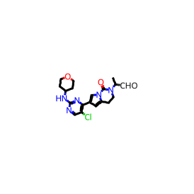 CC(C=O)N1CCc2cc(-c3nc(NC4CCOCC4)ncc3Cl)cn2C1=O